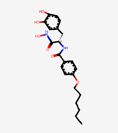 CCCCCCOc1ccc(C(=O)N[C@@H](Cc2ccc(O)c(O)c2)C(=O)NO)cc1